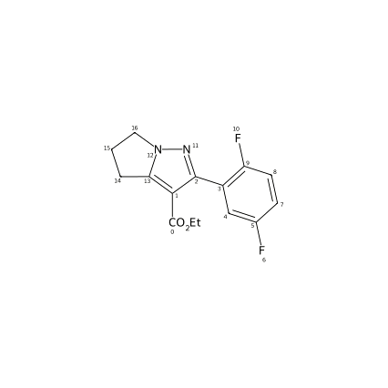 CCOC(=O)c1c(-c2cc(F)ccc2F)nn2c1CCC2